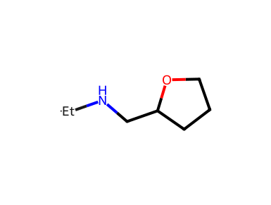 C[CH]NCC1CCCO1